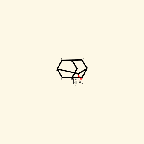 CC(=O)NC12CC3CC(C1)C(O)C(C3)C2